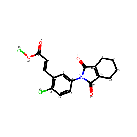 O=C(C=Cc1cc(N2C(=O)C3=C(CCCC3)C2=O)ccc1Cl)OCl